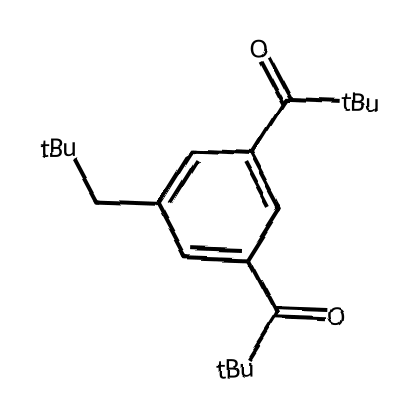 CC(C)(C)Cc1cc(C(=O)C(C)(C)C)cc(C(=O)C(C)(C)C)c1